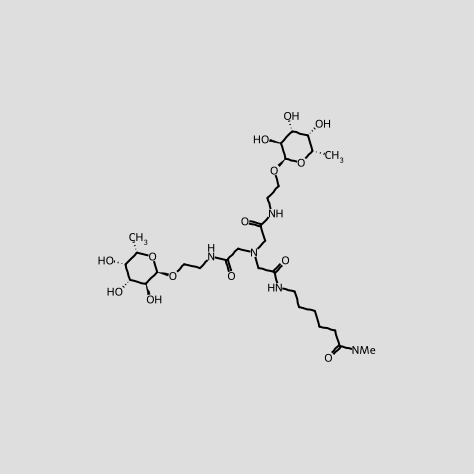 CNC(=O)CCCCCNC(=O)CN(CC(=O)NCCO[C@@H]1O[C@@H](C)[C@@H](O)[C@@H](O)[C@@H]1O)CC(=O)NCCO[C@@H]1O[C@@H](C)[C@@H](O)[C@@H](O)[C@@H]1O